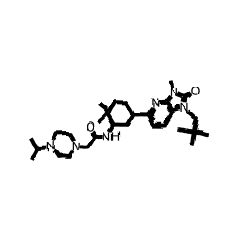 CC(C)N1CCN(CC(=O)NC2CC(c3ccc4c(n3)n(C)c(=O)n4CC(C)(C)C)CCC2(C)C)CC1